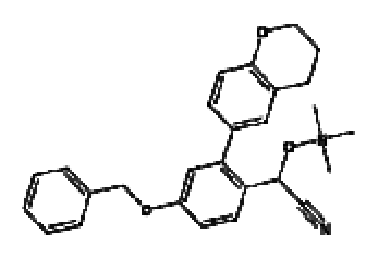 C[Si](C)(C)OC(C#N)c1ccc(OCc2ccccc2)cc1-c1ccc2c(c1)CCCO2